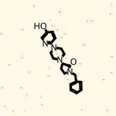 O=C1C(N2CCN(c3ccc(O)cn3)CC2)CCN1Cc1ccccc1